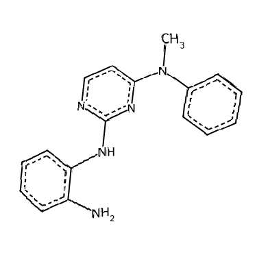 CN(c1ccccc1)c1ccnc(Nc2ccccc2N)n1